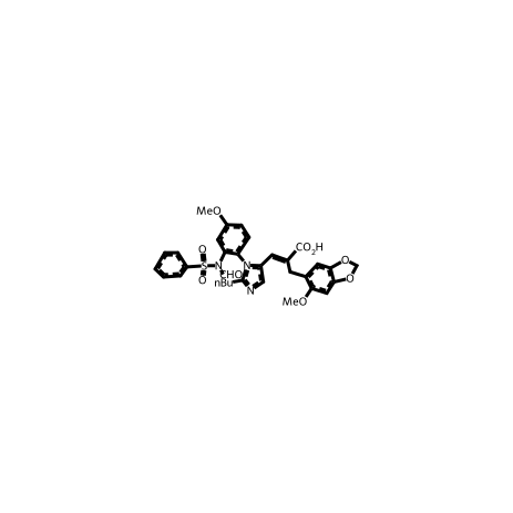 CCCCc1ncc(/C=C(\Cc2cc3c(cc2OC)OCO3)C(=O)O)n1-c1ccc(OC)cc1N(C=O)S(=O)(=O)c1ccccc1